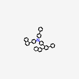 C1=Cc2cc(-c3ccc(-c4ccccc4)cc3-c3ccc(N(c4ccc(-c5ccccc5)cc4)c4ccc(-c5cccc6ccccc56)cc4)cc3)ccc2CC1